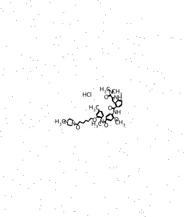 COc1cc(C(=O)N(C)c2ccc(C)cc2OCCCCCC(=O)N2CCN(C)CC2)ccc1NC(=O)c1cccc2[nH]c(C(=O)N(C)C)cc12.Cl